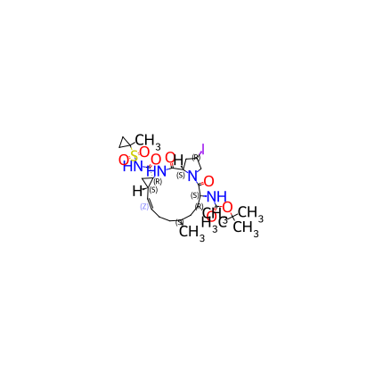 C[C@H]1CC/C=C\[C@@H]2C[C@@]2(C(=O)NS(=O)(=O)C2(C)CC2)NC(=O)[C@@H]2C[C@@H](I)CN2C(=O)[C@@H](NC(=O)OC(C)(C)C)[C@H](C)C1